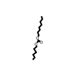 CCCCCCCCOC(=O)OCCCCCC